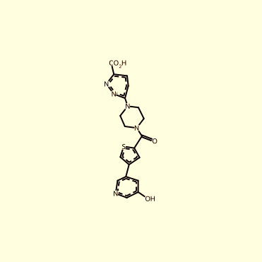 O=C(O)c1ccc(N2CCN(C(=O)c3cc(-c4cncc(O)c4)cs3)CC2)nn1